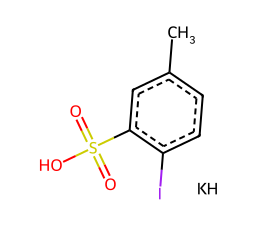 Cc1ccc(I)c(S(=O)(=O)O)c1.[KH]